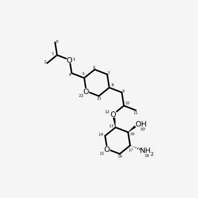 CC(C)OCC1CCC(CC(C)O[C@@H]2COC[C@@H](N)[C@@H]2O)CO1